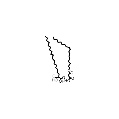 CCCCCCCC/C=C\CCCCCCCCOC(=O)CC(=O)O.CCCCCCCCC=CCCCCCCCCC(C(=O)O)C(=O)O